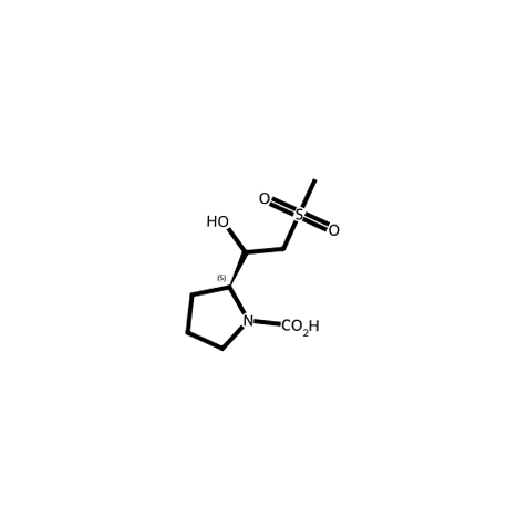 CS(=O)(=O)CC(O)[C@@H]1CCCN1C(=O)O